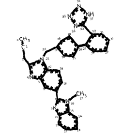 CCCc1nc2cc(-c3nc4ccccc4n3C)ccc2n1Cc1ccc(-c2ccccc2-c2nnn[nH]2)cc1